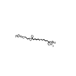 CCCCCCCCCCCCCOC(=O)CCCCCCCCCCC(C)CCCC